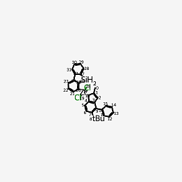 CC1=Cc2c(ccc(C(C)(C)C)c2-c2ccccc2)[CH]1[Zr]([Cl])([Cl])[c]1cccc2c1[SiH2]c1ccccc1-2